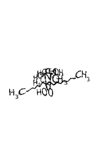 CC(C)(O)NC(C)(C)O.CCCCCCCCCC(CCCCCCC)C(=O)O